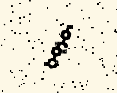 Cl.O=C(Nc1ccc(C2CNCCO2)cc1)c1ccc(O)cc1